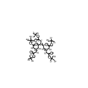 CC(C)(C)OC(=O)CN(CCN(CC(=O)OC(C)(C)C)CC(=O)OC(C)(C)C)CCN(CC(=O)OC(C)(C)C)CC(=O)OC(C)(C)C